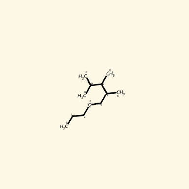 CCCOCC(C)C(C)C(C)C